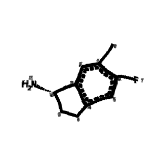 Cc1cc2c(cc1F)CC[C@@H]2N